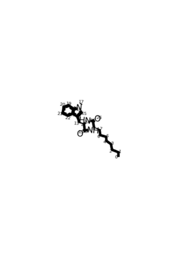 CCCCCCCC[C@H]1NC(=O)[C@@H](Cc2cn(C)c3ccccc23)NC1=O